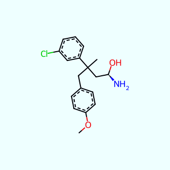 COc1ccc(CC(C)(C[C@H](N)O)c2cccc(Cl)c2)cc1